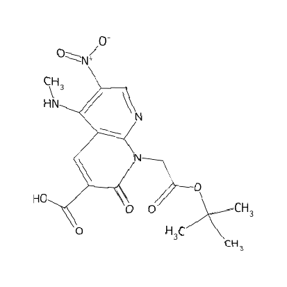 CNc1c([N+](=O)[O-])cnc2c1cc(C(=O)O)c(=O)n2CC(=O)OC(C)(C)C